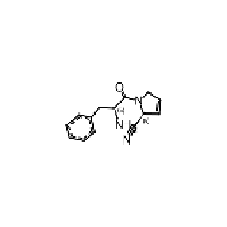 N#C[C@@H]1C=CCN1C(=O)[C@@H](N)Cc1ccccc1